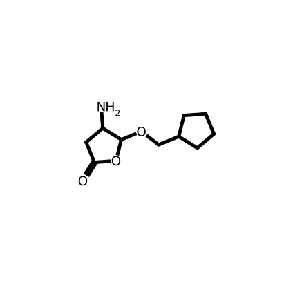 NC1CC(=O)OC1OCC1CCCC1